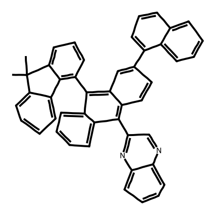 CC1(C)c2ccccc2-c2c(-c3c4ccccc4c(-c4cnc5ccccc5n4)c4ccc(-c5cccc6ccccc56)cc34)cccc21